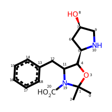 CC1(C)OC([C@H]2C[C@@H](O)CN2)C(Cc2ccccc2)N1C(=O)O